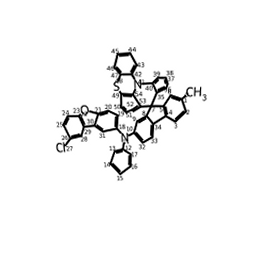 Cc1ccc2c(c1)C1(c3cc(N(c4ccccc4)c4ccc5oc6ccc(Cl)cc6c5c4)ccc3-2)c2ccccc2N2c3ccccc3Sc3cccc1c32